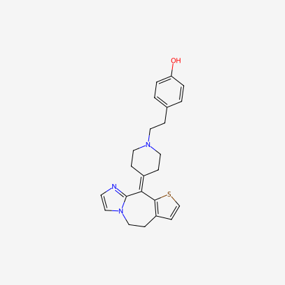 Oc1ccc(CCN2CCC(=C3c4sccc4CCn4ccnc43)CC2)cc1